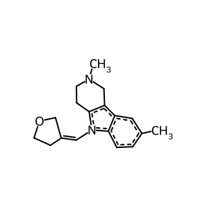 Cc1ccc2c(c1)c1c(n2/C=C2/CCOC2)CCN(C)C1